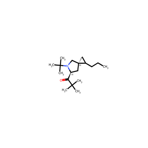 CCCC1C[C@@]12C[C@@H](C(=O)C(C)(C)C)N(C(C)(C)C)C2